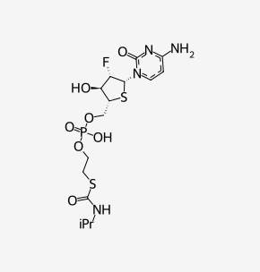 CC(C)NC(=O)SCCOP(=O)(O)OC[C@H]1S[C@@H](n2ccc(N)nc2=O)[C@@H](F)[C@@H]1O